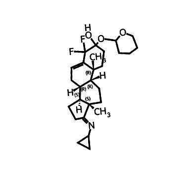 C[C@]12CCC(O)(OC3CCCCO3)C(F)(F)C1=CC[C@@H]1[C@H]2CC[C@]2(C)C(=NC3CC3)CC[C@@H]12